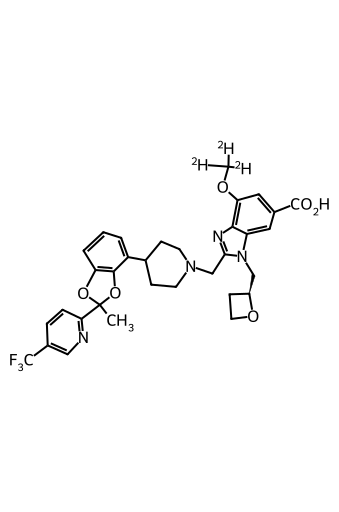 [2H]C([2H])([2H])Oc1cc(C(=O)O)cc2c1nc(CN1CCC(c3cccc4c3OC(C)(c3ccc(C(F)(F)F)cn3)O4)CC1)n2C[C@@H]1CCO1